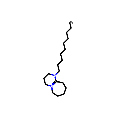 CCCCCCCCCCN1CCC[N+]2=C1CCCCC2